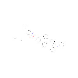 CCCc1cc(C)cc2nc(-c3ccc(-c4ccccc4-c4ccccc4-c4ccc5c(c4)c4ccccc4n5-c4ccccc4)cc3)oc12